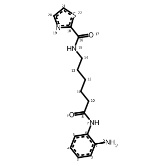 Nc1ccccc1NC(=O)CCCCCNC(=O)c1nccs1